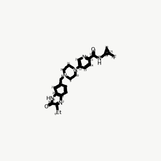 CCc1nc2ccc(CN3CCN(c4ccc(C(=O)NC5CC5F)nc4)CC3)cc2[nH]c1=O